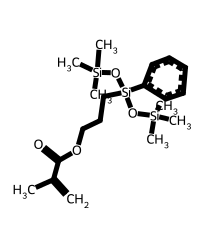 C=C(C)C(=O)OCCC[Si](O[Si](C)(C)C)(O[Si](C)(C)C)c1ccccc1